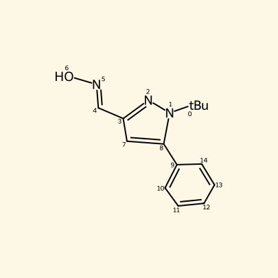 CC(C)(C)n1nc(/C=N/O)cc1-c1ccccc1